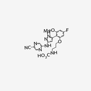 COc1cc(F)cc(OCCCNC(=O)O)c1-c1cc(Nc2cnc(C#N)cn2)n[nH]1